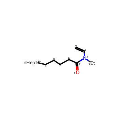 C=CN(CC)C(=O)CCCCCCCCCCC